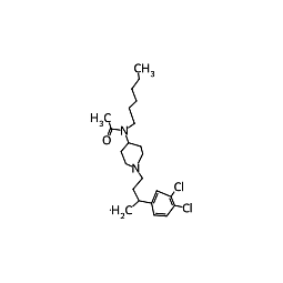 [CH2]C(CCN1CCC(N(CCCCCC)C(C)=O)CC1)c1ccc(Cl)c(Cl)c1